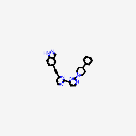 C(#Cc1ccnc(-c2ccnc(N3CCC(c4ccccc4)CC3)n2)n1)c1ccc2[nH]ncc2c1